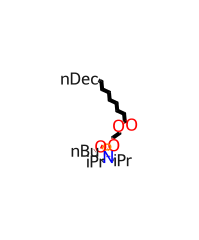 CCCCCCCCCCCCCCCCCC(=O)OCCOP(OCCCC)N(C(C)C)C(C)C